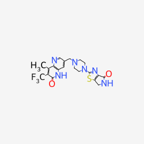 Cc1c(C(F)(F)F)c(=O)[nH]c2cc(CN3CCN(c4nc5c(s4)CNC5=O)CC3)cnc12